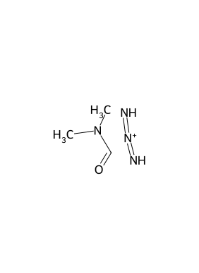 CN(C)C=O.N=[N+]=N